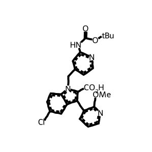 COc1ncccc1-c1c(C(=O)O)n(Cc2ccnc(NC(=O)OC(C)(C)C)c2)c2ccc(Cl)cc12